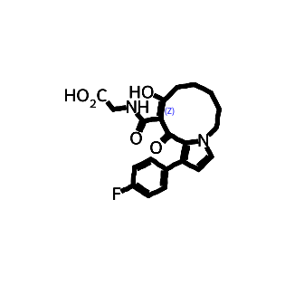 O=C(O)CNC(=O)/C1=C(\O)CCCCCn2ccc(-c3ccc(F)cc3)c2C1=O